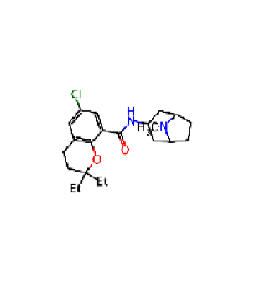 CCC1(CC)CCc2cc(Cl)cc(C(=O)NC3CC4CCC(C3)N4C)c2O1